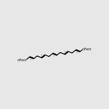 CCCCC/C=C/C/C=C/C/C=C/C/C=C/C/C=C/CCCCC